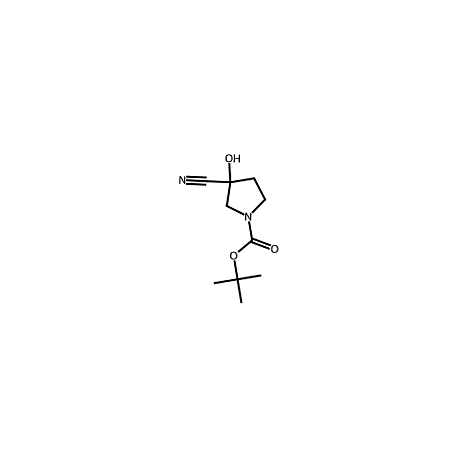 CC(C)(C)OC(=O)N1CCC(O)(C#N)C1